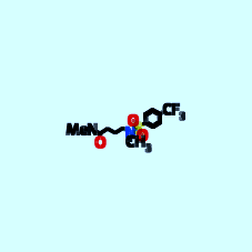 CNC(=O)CCCN(C)S(=O)(=O)c1ccc(C(F)(F)F)cc1